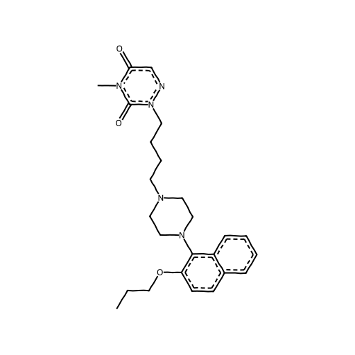 CCCOc1ccc2ccccc2c1N1CCN(CCCCn2ncc(=O)n(C)c2=O)CC1